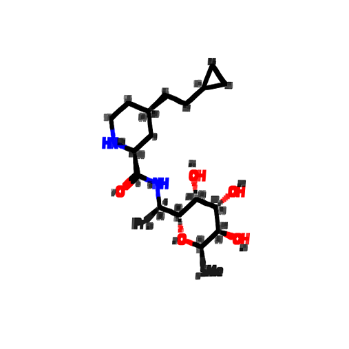 CS[C@H]1O[C@H]([C@H](NC(=O)[C@@H]2C[C@H](CCC3CC3)CCN2)C(C)C)[C@H](O)[C@H](O)[C@H]1O